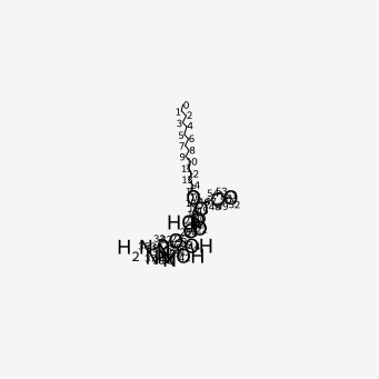 CCCCCCCCCCCCCCCCOC[C@H](COP(=O)(O)OC[C@H]1O[C@@](C#N)(c2ccc3c(N)ncnn23)[C@H](O)[C@@H]1O)OCc1ccc(OC)cc1